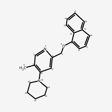 Cc1cnc(COc2cccc3ccccc23)cc1N1CCCCC1